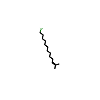 CC(C)=CCCCCCCCCCCBr